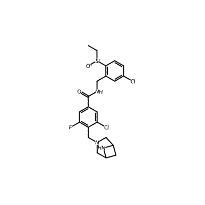 CC[S+]([O-])c1ccc(Cl)cc1CNC(=O)c1cc(F)c(CN2CC3CC(C2)N3)c(Cl)c1